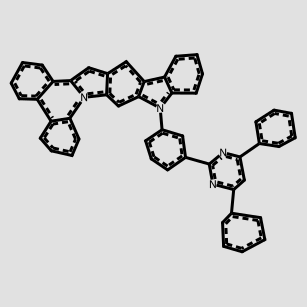 c1ccc(-c2cc(-c3ccccc3)nc(-c3cccc(-n4c5ccccc5c5cc6cc7c8ccccc8c8ccccc8n7c6cc54)c3)n2)cc1